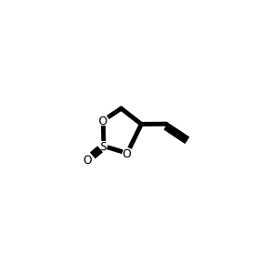 C=CC1COS(=O)O1